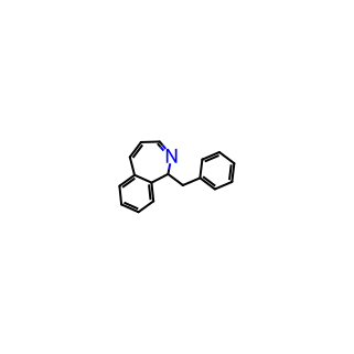 C1=Cc2ccccc2C(Cc2ccccc2)N=C1